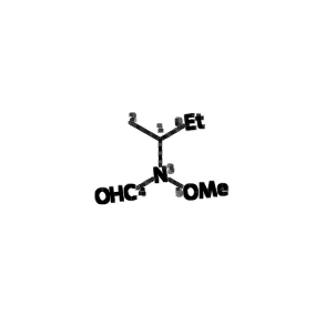 CCC(C)N(C=O)OC